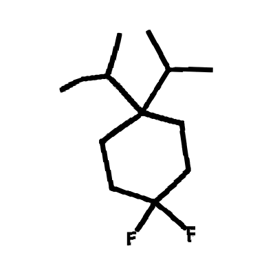 CC(C)C1(C(C)C)CCC(F)(F)CC1